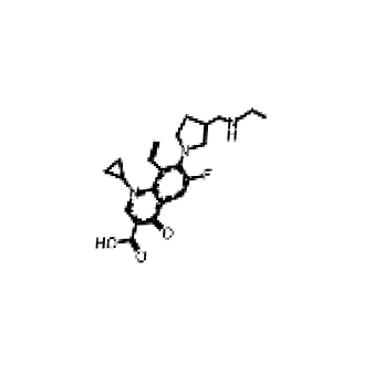 C=Cc1c(N2CCC(CNCC)C2)c(F)cc2c(=O)c(C(=O)O)cn(C3CC3)c12